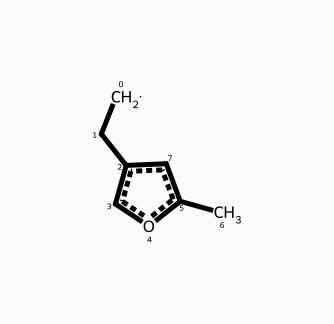 [CH2]Cc1coc(C)c1